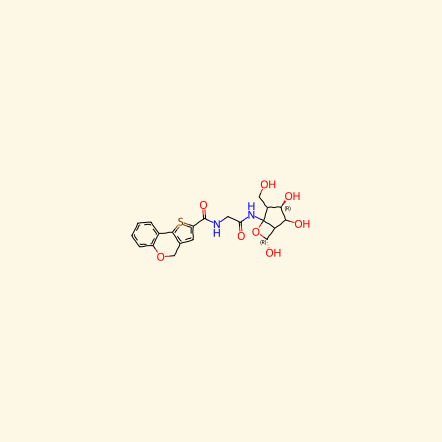 O=C(CNC(=O)c1cc2c(s1)-c1ccccc1OC2)NC12O[C@@H](O)C1C(O)[C@H](O)C2CO